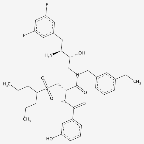 CCCC(CCC)S(=O)(=O)C[C@@H](NC(=O)c1cccc(O)c1)C(=O)N(Cc1cccc(CC)c1)C[C@@H](O)[C@@H](N)Cc1cc(F)cc(F)c1